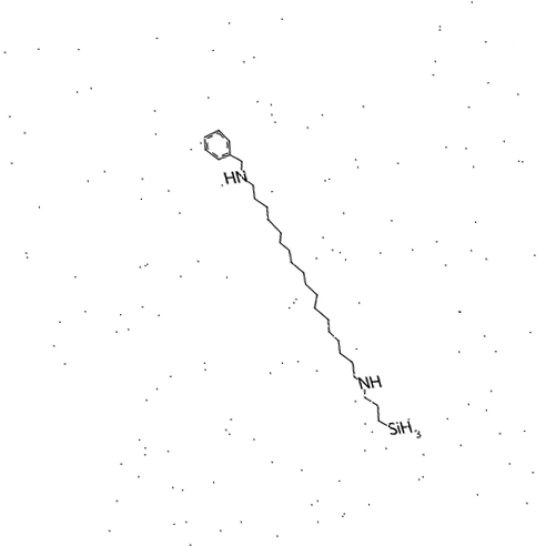 [SiH3]CCCNCCCCCCCCCCCCCCCCCCNCc1ccccc1